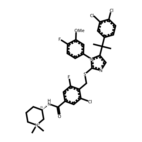 COc1cc(-n2c(C(C)(C)c3ccc(Cl)c(Cl)c3)cnc2SCc2c(F)cc(C(=O)N[C@H]3CCC[N+](C)(C)C3)cc2Cl)ccc1F